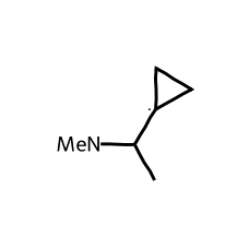 CNC(C)[C]1CC1